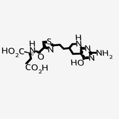 Nc1nc(O)c2c(n1)NCC(CCc1nc(C(=O)N[C@@H](CCC(=O)O)C(=O)O)cs1)C2